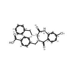 O=C(O)c1ccc(CN2C(=O)c3ccc(Cl)cc3NC(=O)[C@H]2CCc2ccccc2)cc1